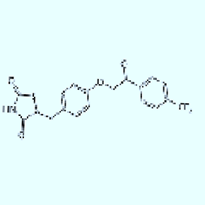 O=C1NC(=O)C(Cc2ccc(OCC(=O)c3ccc(C(F)(F)F)cc3)cc2)S1